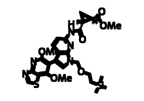 COC(=O)[C@@H]1C[C@H]1C(=O)Nc1ccc2c(-c3c(OC)nc4ncsc4c3OC)cn(COCC[Si](C)(C)C)c2n1